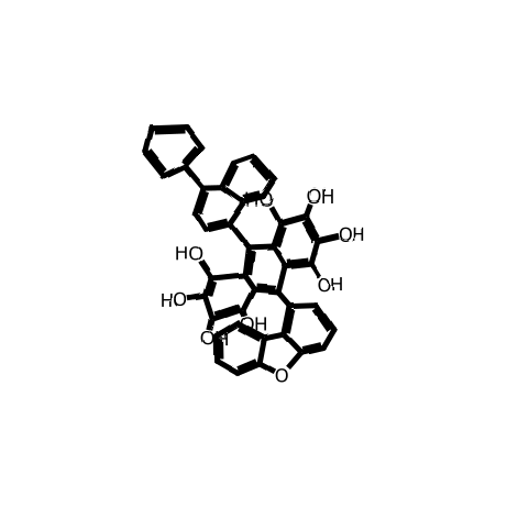 Oc1c(O)c(O)c2c(-c3cccc4oc5ccccc5c34)c3c(O)c(O)c(O)c(O)c3c(-c3ccc(-c4ccccc4)c4ccccc34)c2c1O